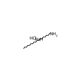 CCCCCCCCCCCCCCCCCCN.Cl.[NaH]